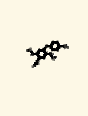 CCCOc1cc(Sc2ccc(C)cc2)c(OCCC)cc1[N+]#N